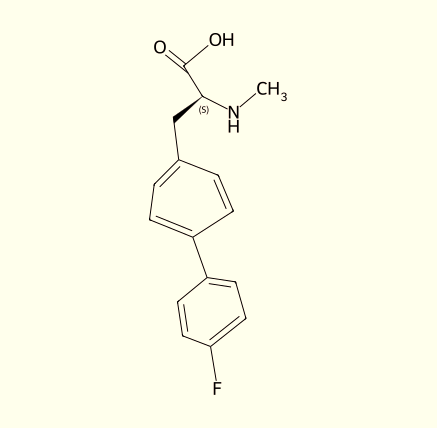 CN[C@@H](Cc1ccc(-c2ccc(F)cc2)cc1)C(=O)O